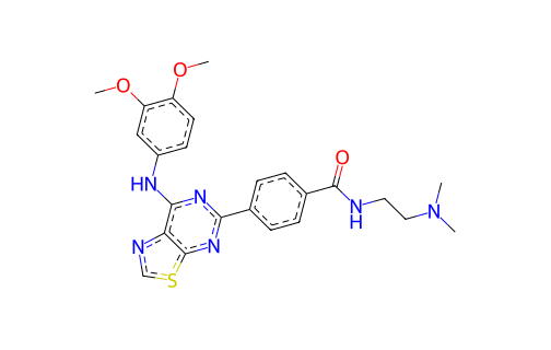 COc1ccc(Nc2nc(-c3ccc(C(=O)NCCN(C)C)cc3)nc3scnc23)cc1OC